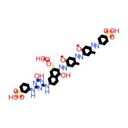 COc1cc(N=Nc2ccc(S(=O)(=O)O)cc2)c(C)cc1N=Nc1cc(OC)c(N=Nc2c(SOOO)cc3cc(Nc4nc(O)nc(Nc5cccc(S(=O)(=O)O)c5)n4)ccc3c2O)cc1C